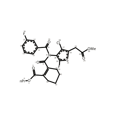 CCCOC(=O)C1=C(C(=O)N(C(=O)c2cccc(F)c2)c2c(F)sc(CC(=O)OC)c2Cl)CCCC1